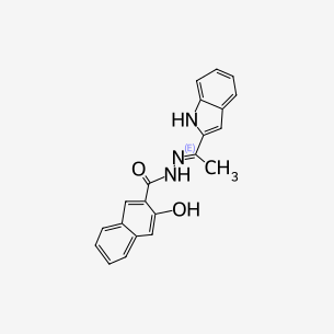 C/C(=N\NC(=O)c1cc2ccccc2cc1O)c1cc2ccccc2[nH]1